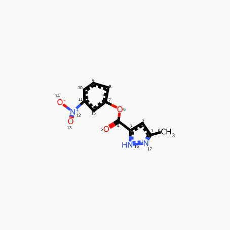 Cc1cc(C(=O)Oc2cccc([N+](=O)[O-])c2)[nH]n1